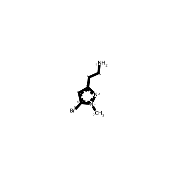 Cn1nc(CCN)cc1Br